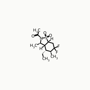 CC[C@@H]1[C@@H]2[C@@H](C)N(C(C)=O)S(=O)(=O)[C@@H]2CC(F)(F)[C@H]1C